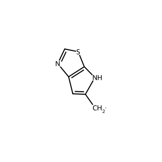 [CH2]c1cc2ncsc2[nH]1